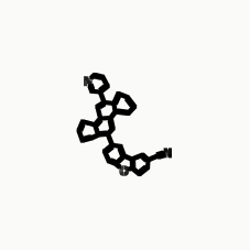 N#Cc1ccc2oc3ccc(-c4cc5c6ccccc6c(-c6cccnc6)cc5c5ccccc45)cc3c2c1